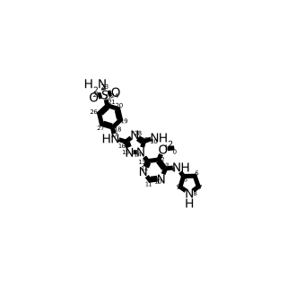 COc1c(NC2CCNC2)ncnc1-n1nc(Nc2ccc(S(N)(=O)=O)cc2)nc1N